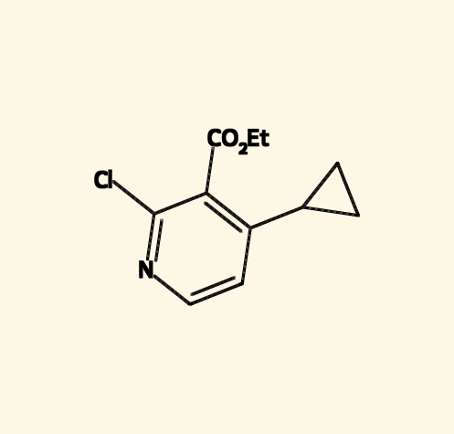 CCOC(=O)c1c(C2CC2)ccnc1Cl